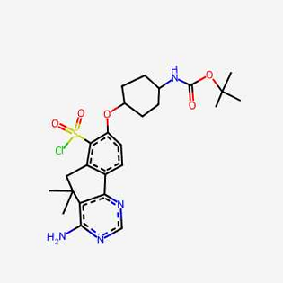 CC(C)(C)OC(=O)NC1CCC(Oc2ccc3c(c2S(=O)(=O)Cl)CC(C)(C)c2c(N)ncnc2-3)CC1